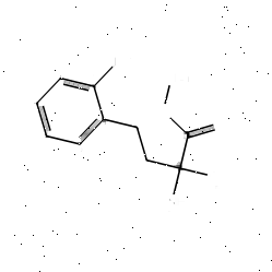 CC(C)(C)OC(=O)C(N)(CCc1ccccc1F)C(=O)O